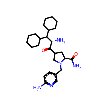 NC(=O)[C@@H]1CC(C(=O)[C@@H](N)C(C2CCCCC2)C2CCCCC2)CN1Cc1ccc(N)nc1